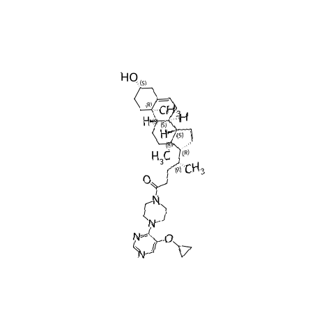 C[C@H](CCC(=O)N1CCN(c2ncncc2OC2CC2)CC1)[C@H]1CC[C@H]2[C@@H]3CC=C4C[C@@H](O)CC[C@]4(C)[C@H]3CC[C@]12C